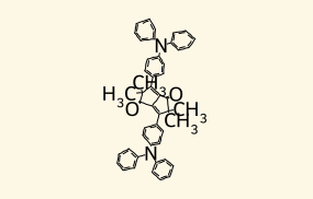 CC1(C)C(=O)C2=C(c3ccc(N(c4ccccc4)c4ccccc4)cc3)C(C)(C)C(=O)C2=C1c1ccc(N(c2ccccc2)c2ccccc2)cc1